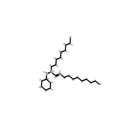 CCCCCCCCCN=CN(CCCCCCCCC)SC1CCCCC1